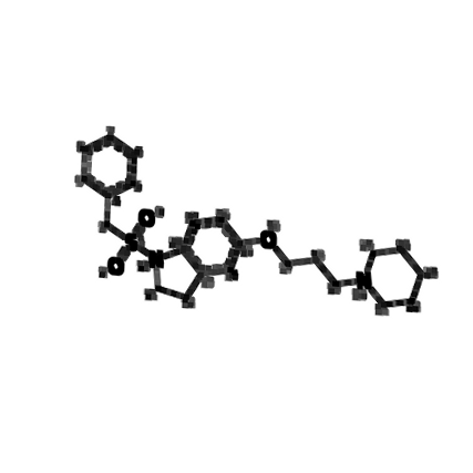 O=S(=O)(Cc1ccccc1)N1CCc2cc(OCCCN3CCCCC3)ccc21